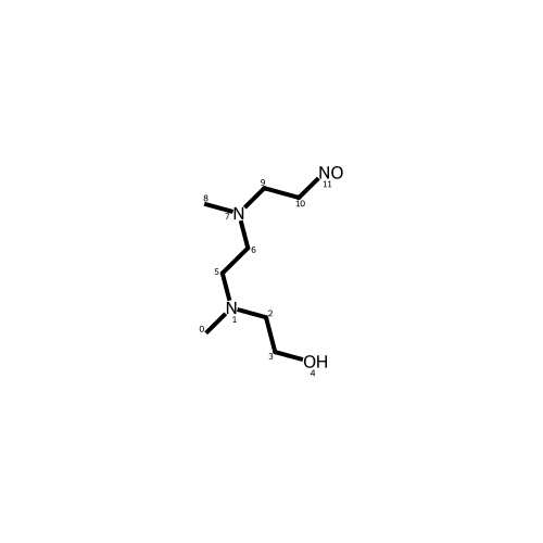 CN(CCO)CCN(C)CCN=O